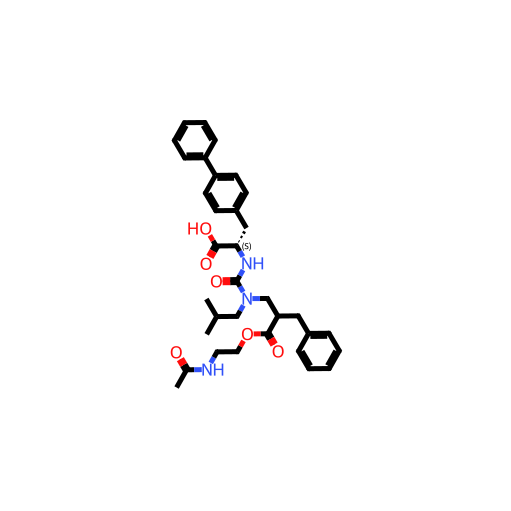 CC(=O)NCCOC(=O)C(Cc1ccccc1)CN(CC(C)C)C(=O)N[C@@H](Cc1ccc(-c2ccccc2)cc1)C(=O)O